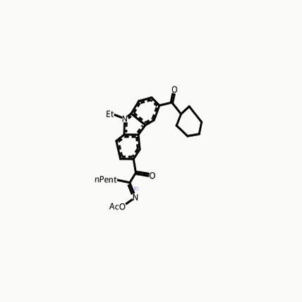 CCCCC/C(=N\OC(C)=O)C(=O)c1ccc2c(c1)c1cc(C(=O)C3CCCCC3)ccc1n2CC